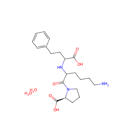 NCCCCC(NC(CCc1ccccc1)C(=O)O)C(=O)N1CCC[C@H]1C(=O)O.O.O